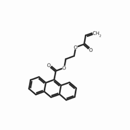 C=CC(=O)OCCOC(=O)c1c2ccccc2cc2ccccc12